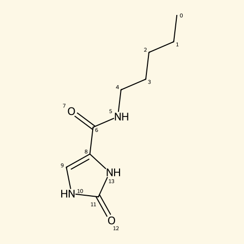 CCCCCNC(=O)c1c[nH]c(=O)[nH]1